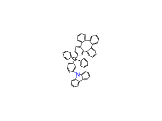 c1ccc([Si](c2ccccc2)(c2cccc(-n3c4ccccc4c4ccccc43)c2)c2ccc3c(c2)-c2ccccc2-c2ccccc2-c2ccccc2-3)cc1